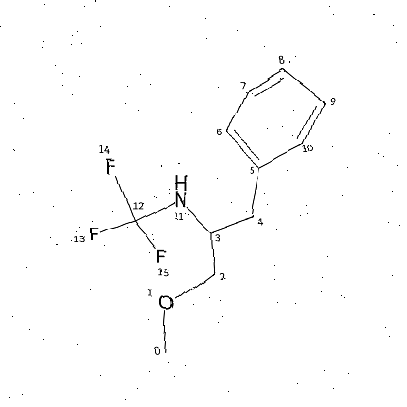 COCC(Cc1ccccc1)NC(F)(F)F